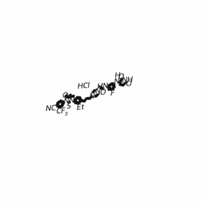 CCc1cc(N2C(=S)N(c3ccc(C#N)c(C(F)(F)F)c3)C(=O)C2(C)C)ccc1CCCN1CCN(CC(=O)Nc2cc(F)cc(NC3CCC(=O)NC3=O)c2)CC1.Cl